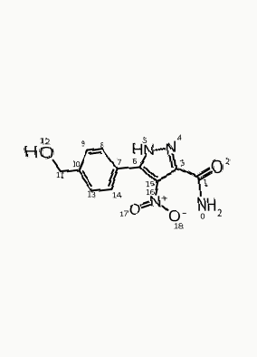 NC(=O)c1n[nH]c(-c2ccc(CO)cc2)c1[N+](=O)[O-]